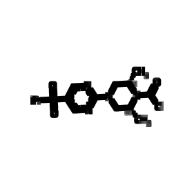 CC(C)S(=O)(=O)c1cnc(N2C[C@@H](C)N(C(=O)Cl)[C@@H](C)C2)nc1